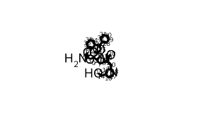 C[C@@]1(COC(N)=O)CC2/C(=C\c3cc(CO)ccn3)C(=O)N2[C@H]1C(=O)OC(c1ccccc1)c1ccccc1